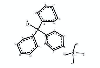 CC[B-](c1ccccc1)(c1ccccc1)c1ccccc1.C[N+](C)(C)C